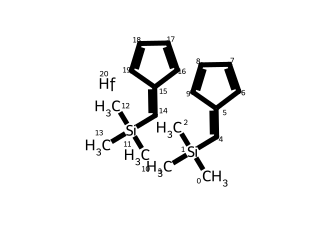 C[Si](C)(C)C=C1C=CC=C1.C[Si](C)(C)C=C1C=CC=C1.[Hf]